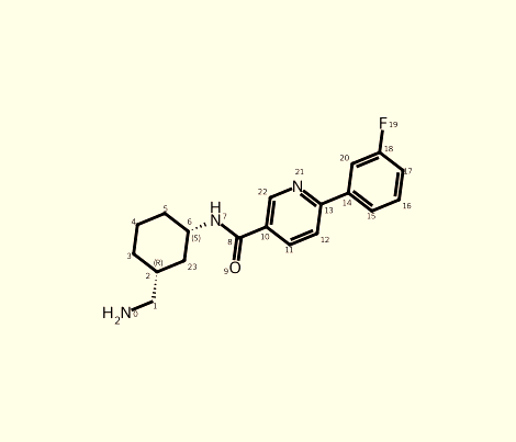 NC[C@@H]1CCC[C@H](NC(=O)c2ccc(-c3cccc(F)c3)nc2)C1